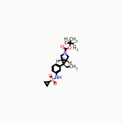 CC[C@@]1(c2cccc(NS(=O)(=O)C3CC3)c2)[C@@H]2CN(C(=O)OC(C)(C)C)C[C@@H]21